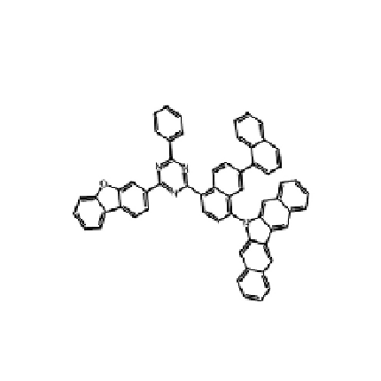 c1ccc(-c2nc(-c3ccc4c(c3)oc3ccccc34)nc(-c3ccc(-n4c5cc6ccccc6cc5c5cc6ccccc6cc54)c4cc(-c5cccc6ccccc56)ccc34)n2)cc1